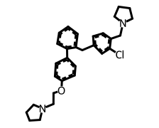 Clc1cc(Cc2ccccc2-c2ccc(OCCN3CCCC3)cc2)ccc1CN1CCCC1